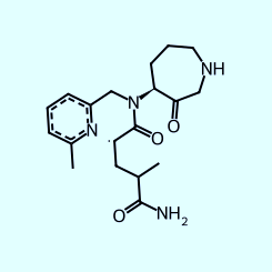 Cc1cccc(CN(C(=O)[CH]CC(C)C(N)=O)[C@H]2CCCNCC2=O)n1